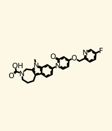 Cn1c2c(c3ccc(-n4ccc(OCc5ccc(F)cn5)cc4=O)cc31)CCCN(C(=O)O)C2